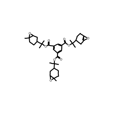 CC(C)(OC(=O)c1cc(C(=O)OC(C)(C)C2CCC3(C)OC3C2)cc(C(=O)OC(C)(C)C2CCC3(C)OC3C2)c1)C1CCC2(C)OC2C1